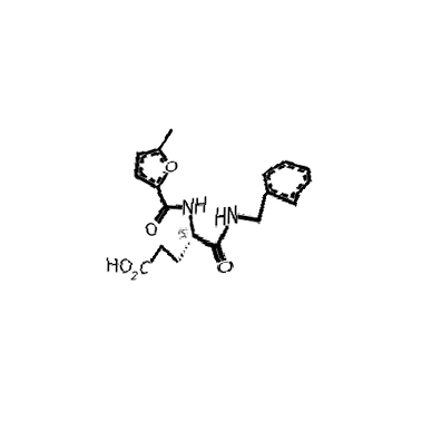 Cc1ccc(C(=O)N[C@@H](CCC(=O)O)C(=O)NCc2ccccc2)o1